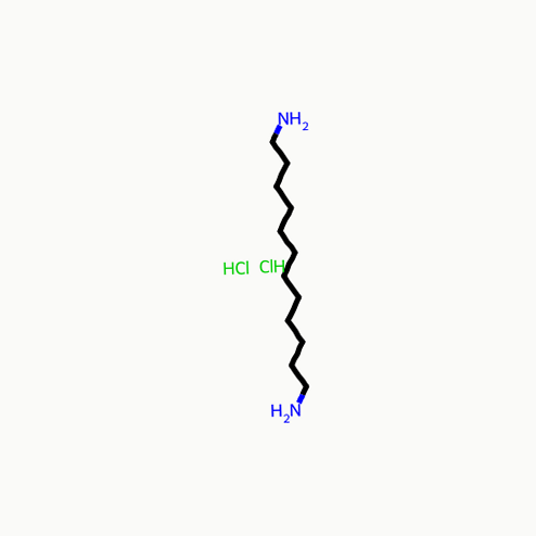 Cl.Cl.NCCCCCCCCCCCCN